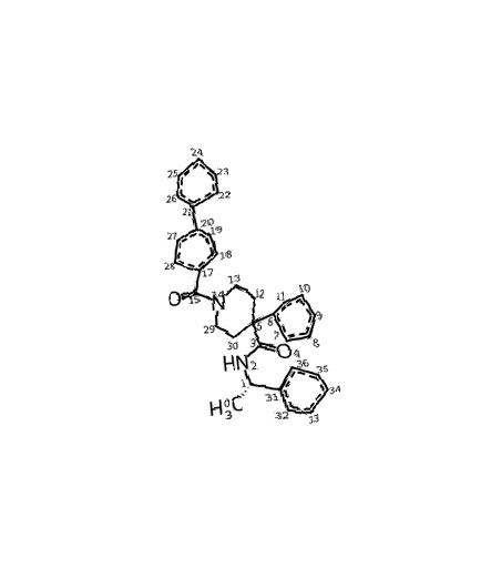 C[C@H](NC(=O)C1(c2ccccc2)CCN(C(=O)c2ccc(-c3ccccc3)cc2)CC1)c1ccccc1